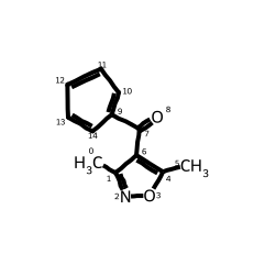 Cc1noc(C)c1C(=O)c1ccccc1